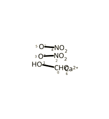 O=CO.O=[N+]([O-])[O-].O=[N+]([O-])[O-].[Ca+2]